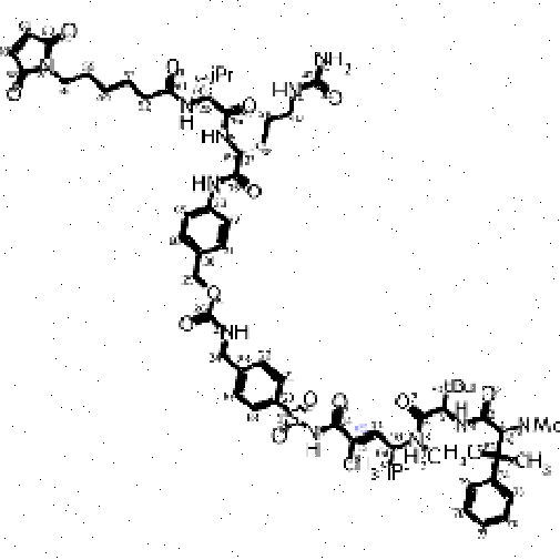 CN[C@H](C(=O)NC(C(=O)N(C)[C@H](/C=C(\C)C(=O)NS(=O)(=O)c1ccc(CNC(=O)OCc2ccc(NC(=O)[C@@H](CCCNC(N)=O)NC(=O)[C@H](NC(=O)CCCCCN3C(=O)C=CC3=O)C(C)C)cc2)cc1)C(C)C)C(C)(C)C)C(C)(C)c1ccccc1